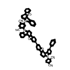 N#Cc1ccc(-n2c3ccc(-c4ccccc4)cc3c3c4oc5cc(-c6ccc7c(c6)oc6c7ccc7c6c6ccccc6n7-c6cc(-n7c8ccccc8c8c9oc%10ccccc%10c9ccc87)c(C#N)cc6C#N)ccc5c4ccc32)c(C#N)c1